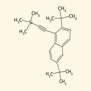 CC(C)(C)c1ccc2c(C#C[Si](C)(C)C)c(C(C)(C)C)ccc2c1